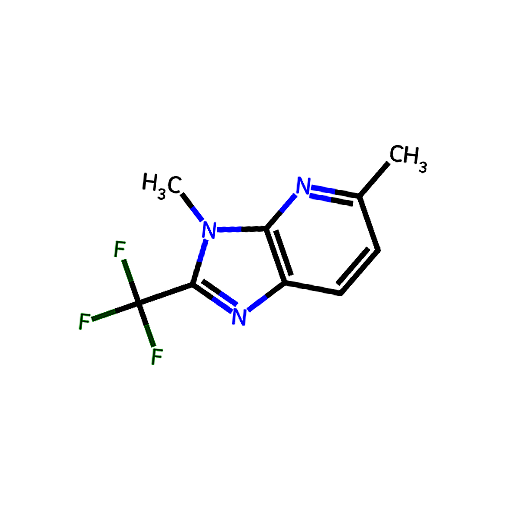 Cc1ccc2nc(C(F)(F)F)n(C)c2n1